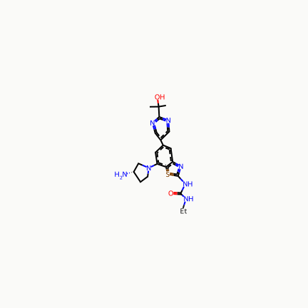 CCNC(=O)Nc1nc2cc(-c3cnc(C(C)(C)O)nc3)cc(N3CC[C@H](N)C3)c2s1